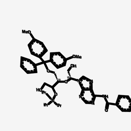 COc1ccc(C(OC[C@H](O[C@H](CO)n2cnc3c(NC(=O)c4ccccc4)ncnc32)C(CO)O[Si](C(C)C)(C(C)C)C(C)C)(c2ccccc2)c2ccc(OC)cc2)cc1